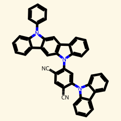 N#Cc1cc(C#N)c(-n2c3ccccc3c3cc4c(cc32)c2ccccc2n4-c2ccccc2)cc1-n1c2ccccc2c2ccccc21